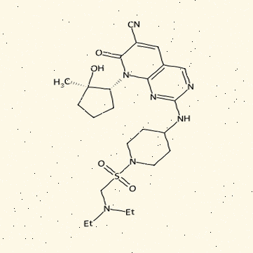 CCN(CC)CS(=O)(=O)N1CCC(Nc2ncc3cc(C#N)c(=O)n([C@@H]4CCC[C@@]4(C)O)c3n2)CC1